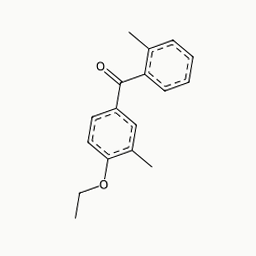 CCOc1ccc(C(=O)c2ccccc2C)cc1C